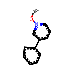 CCCO[n+]1cccc(-c2ccccc2)c1